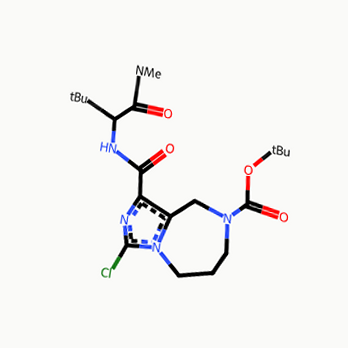 CNC(=O)C(NC(=O)c1nc(Cl)n2c1CN(C(=O)OC(C)(C)C)CCC2)C(C)(C)C